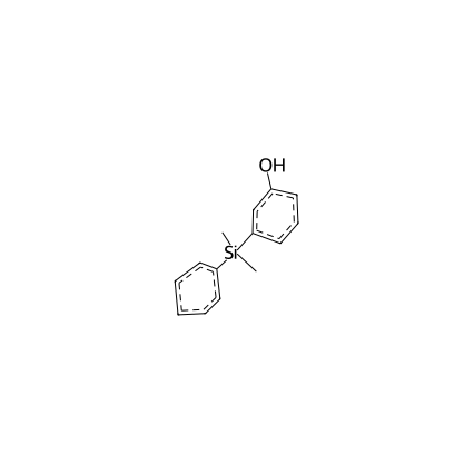 C[Si](C)(c1ccccc1)c1cccc(O)c1